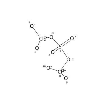 O=S(=O)(O[Cl+2]([O-])[O-])O[Cl+2]([O-])[O-]